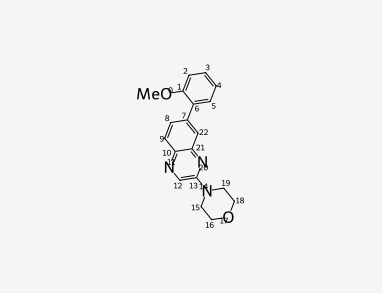 COc1ccccc1-c1ccc2ncc(N3CCOCC3)nc2c1